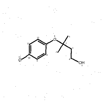 CC(C)(CCO)Oc1[c]cc(Cl)cc1